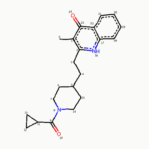 Cc1c(CCC2CCN(C(=O)C3CC3)CC2)[nH]c2ccccc2c1=O